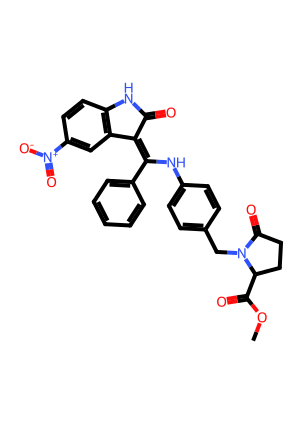 COC(=O)C1CCC(=O)N1Cc1ccc(N/C(=C2\C(=O)Nc3ccc([N+](=O)[O-])cc32)c2ccccc2)cc1